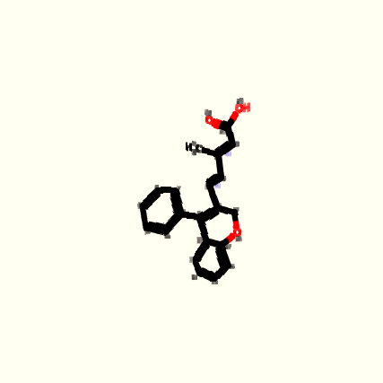 CC(/C=C/C1=C(c2ccccc2)c2ccccc2OC1)=C\C(=O)O